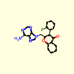 Nc1ncnc2c1ncn2Cc1oc2ccccc2c(=O)c1-c1ccccc1F